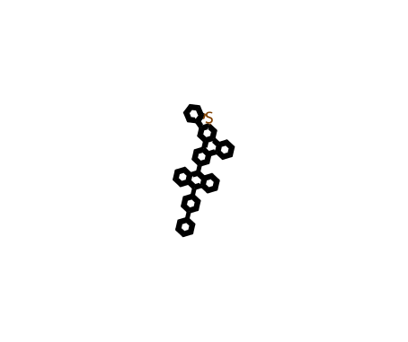 c1ccc(-c2ccc(-c3c4ccccc4c(-c4ccc5c(c4)c4ccccc4c4cc6sc7ccccc7c6cc54)c4ccccc34)cc2)cc1